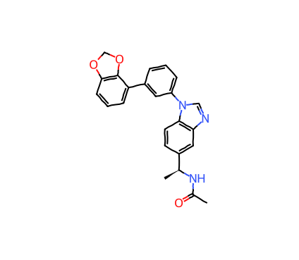 CC(=O)N[C@@H](C)c1ccc2c(c1)ncn2-c1cccc(-c2cccc3c2OCO3)c1